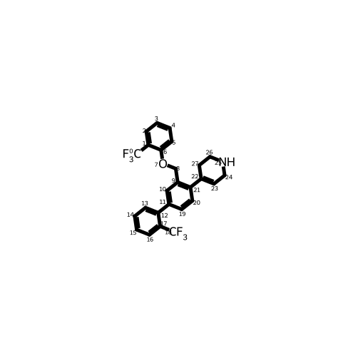 FC(F)(F)c1ccccc1OCc1cc(-c2ccccc2C(F)(F)F)ccc1C1=CCNCC1